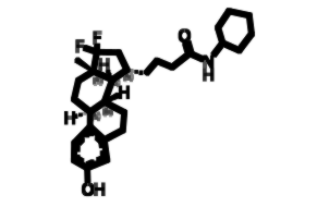 C[C@]12CC[C@@H]3c4ccc(O)cc4CC[C@H]3[C@@H]1[C@@H](CCCC(=O)NC1CCCCC1)CC2(F)F